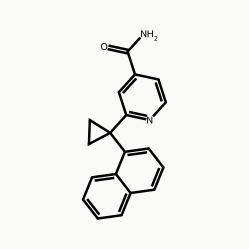 NC(=O)c1ccnc(C2(c3cccc4ccccc34)CC2)c1